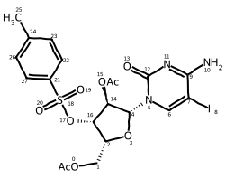 CC(=O)OC[C@H]1O[C@@H](n2cc(I)c(N)nc2=O)[C@H](OC(C)=O)[C@H]1OS(=O)(=O)c1ccc(C)cc1